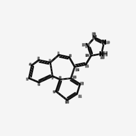 C1=Cc2ccccc2-c2ccccc2C1=Cc1nnn[nH]1